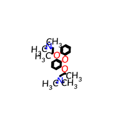 CC(CN(C)C)Oc1ccccc1Oc1ccccc1OC(C)CN(C)C